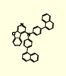 c1ccc2c(-c3ccc(N(c4ccc(-c5cccc6ccccc56)cc4)c4cncc5oc6ccccc6c45)cc3)cccc2c1